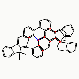 CC1(C)c2ccccc2-c2cccc(-c3ccccc3N(c3ccc4c(c3)C3(CCc5ccccc53)c3ccccc3-4)c3ccccc3-c3cccc(-c4ccccc4-c4ccccc4)c3)c21